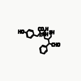 O=CC(c1ccccc1)C(CS)CN[C@@H](Cc1ccc(O)cc1)C(=O)O